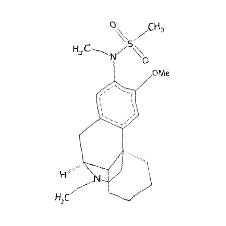 COc1cc2c(cc1N(C)S(C)(=O)=O)C[C@H]1C3CCCC[C@@]23CCN1C